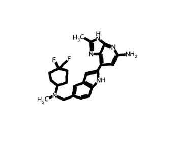 Cc1nc2c(-c3cc4cc(CN(C)C5CCC(F)(F)CC5)ccc4[nH]3)cc(N)nc2[nH]1